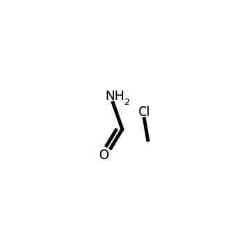 CCl.NC=O